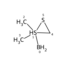 B[SH]1(C)(C)CS1